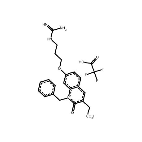 N=C(N)NCCCOc1ccc2cc(CC(=O)O)c(=O)n(Cc3ccccc3)c2c1.O=C(O)C(F)(F)F